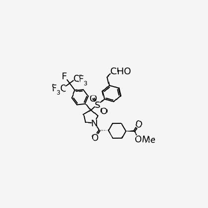 COC(=O)[C@H]1CC[C@H](C(=O)N2CCC(c3ccc(C(F)(C(F)(F)F)C(F)(F)F)cc3)(S(=O)(=O)c3cccc(CC=O)c3)C2)CC1